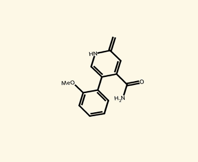 C=C1C=C(C(N)=O)C(c2ccccc2OC)=CN1